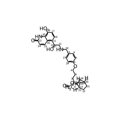 CN(CCCOc1ccc(CNC[C@@H](O)c2ccc(O)c3[nH]c(=O)ccc23)cc1)[C@H]1[C@H]2CC[C@@H]1[C@H](OC=O)C2